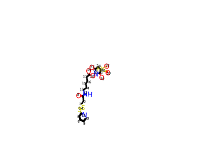 O=C(CCSSc1ccccn1)NCCCCCC(=O)ON1C(=O)CC([SH](=O)=O)C1=O